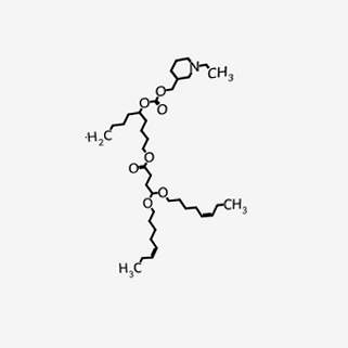 [CH2]CCCC(CCCCOC(=O)CCC(OCCCC/C=C\CC)OCCCC/C=C\CC)OC(=O)OCC1CCCN(CC)C1